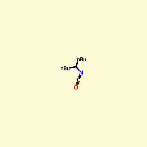 CCCCC(CCCC)N=C=O